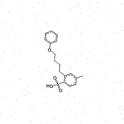 Cc1ccc(S(=O)(=O)O)c(CCCCOc2ccccc2)c1